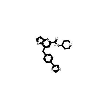 O=C(NC1CCOCC1)c1cc(Cc2ccc(-c3cncs3)cc2)c2sccc2n1